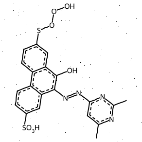 Cc1cc(/N=N/c2c(O)c3cc(SOOO)ccc3c3ccc(S(=O)(=O)O)cc23)nc(C)n1